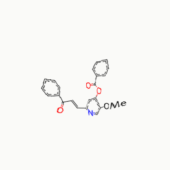 COc1cnc(C=CC(=O)c2ccccc2)cc1OC(=O)c1ccccc1